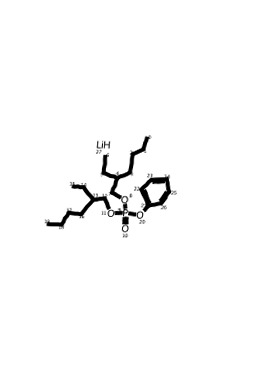 CCCCC(CC)COP(=O)(OCC(CC)CCCC)Oc1ccccc1.[LiH]